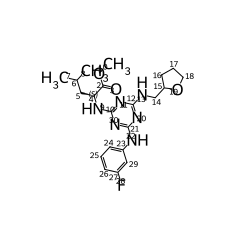 COC(=O)[C@H](CC(C)C)Nc1nc(NCC2CCCO2)nc(Nc2cccc(F)c2)n1